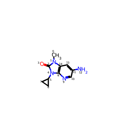 Cn1c(=O)n(C2CC2)c2ncc(N)cc21